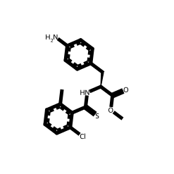 COC(=O)[C@H](Cc1ccc(N)cc1)NC(=S)c1c(C)cccc1Cl